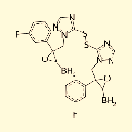 BC1OC1(Cn1ncnc1SSc1ncnn1CC1(c2cccc(F)c2)OC1B)c1cccc(F)c1